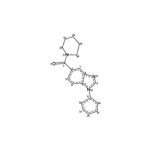 O=C(c1ccc2c(c1)ncn2-c1ccccc1)N1CCCCC1